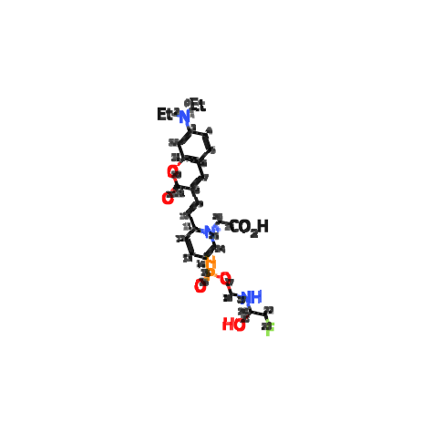 CCN(CC)c1ccc2cc(/C=C/c3ccc([PH](=O)OCNC(O)CF)c[n+]3CC(=O)O)c(=O)oc2c1